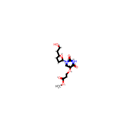 COC(=O)CCOc1cn([C@H]2CCC(CCO)O2)c(=O)[nH]c1=O